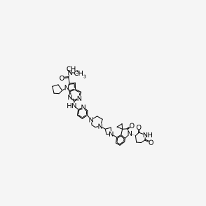 CN(C)C(=O)c1cc2cnc(Nc3ccc(N4CCN(C5CN(c6cccc7c6C6(CC6)C(=O)N7[C@H]6CCC(=O)NC6=O)C5)CC4)cn3)nc2n1C1CCCC1